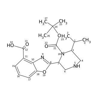 CC(C)C1CNCC(c2nc3c(C(=O)O)cccc3o2)N1C(=O)OC(C)(C)C